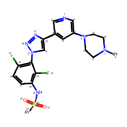 CC(C)N1CCN(c2cncc(-c3cn(-c4c(F)ccc(NS(=O)(=O)C(C)C)c4F)nn3)c2)CC1